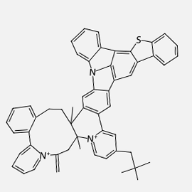 C=C1CC2(C)[n+]3ccc(CC(C)(C)C)cc3-c3cc4c5cc6c7ccccc7sc6c6c7ccccc7n(c4cc3C2(C)CCc2ccccc2-c2cccc[n+]21)c56